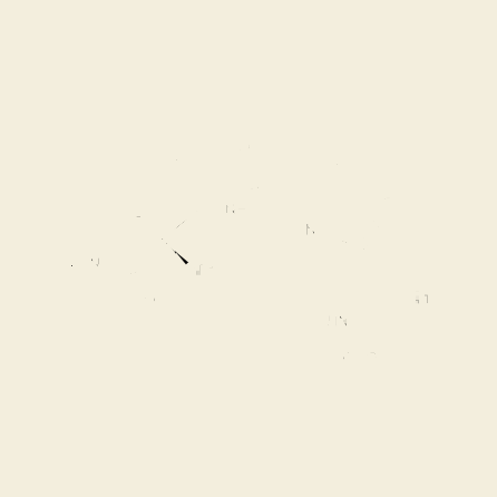 CCC[C@](C)(C(N)=O)C(C)NC(=O)[C@H](C)NC(=O)[C@@H](NC=O)C(C)C